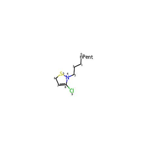 CCCCCCCCN1SCC=C1Cl